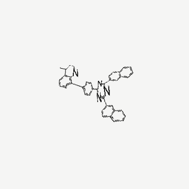 CC1CC=Nc2c(-c3ccc(-c4nc(-c5ccc6ccccc6c5)nc(-c5ccc6ccccc6c5)n4)cc3)cccc21